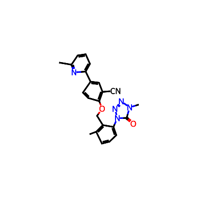 Cc1cccc(-c2ccc(OCc3c(C)cccc3-n3nnn(C)c3=O)c(C#N)c2)n1